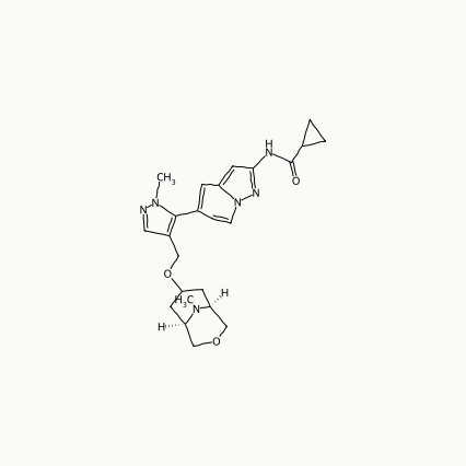 CN1[C@@H]2COC[C@H]1CC(OCc1cnn(C)c1-c1ccn3nc(NC(=O)C4CC4)cc3c1)C2